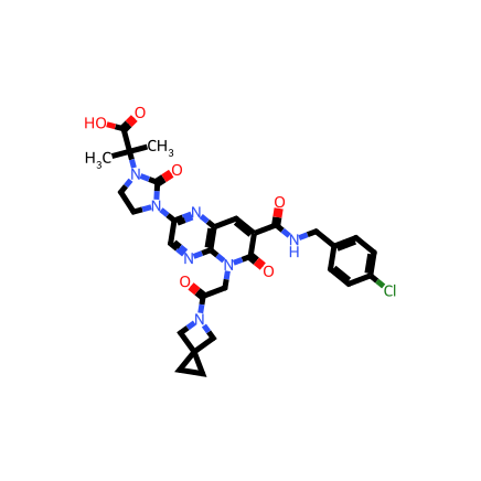 CC(C)(C(=O)O)N1CCN(c2cnc3c(cc(C(=O)NCc4ccc(Cl)cc4)c(=O)n3CC(=O)N3CC4(CC4)C3)n2)C1=O